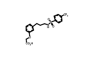 O=C(O)COc1cccc(CCCNS(=O)(=O)c2ccc(C(F)(F)F)cc2)c1